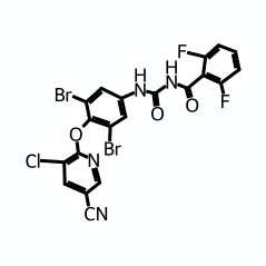 N#Cc1cnc(Oc2c(Br)cc(NC(=O)NC(=O)c3c(F)cccc3F)cc2Br)c(Cl)c1